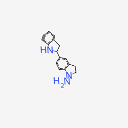 NN1CCc2cc(C3Cc4ccc#cc4N3)ccc21